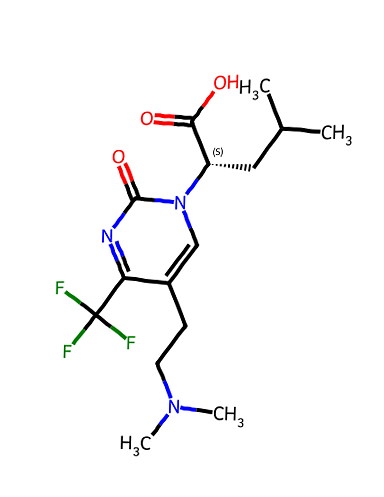 CC(C)C[C@@H](C(=O)O)n1cc(CCN(C)C)c(C(F)(F)F)nc1=O